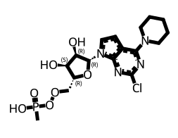 CP(=O)(O)OOC[C@H]1O[C@@H](n2ccc3c(N4CCCCC4)nc(Cl)nc32)[C@H](O)[C@@H]1O